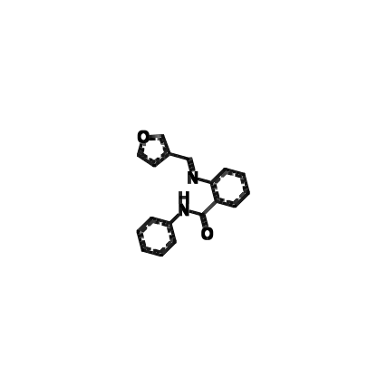 O=C(Nc1ccccc1)c1ccccc1/N=C/c1ccoc1